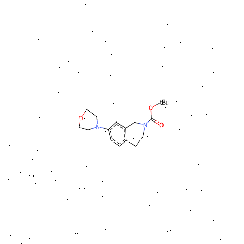 CC(C)(C)OC(=O)N1CCc2ccc(N3CCOCC3)cc2C1